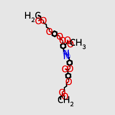 C=CC(=O)OCCCCOc1ccc(OCOc2ccc(/C=N/N=C/c3ccc(OC(=O)c4ccc(OCCCCOC(=O)C=C)cc4)cc3)cc2C(=O)OC)cc1